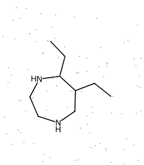 [CH2]CC1NCCNCC1CC